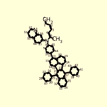 C=C/C=C\C=C(/C)N(c1ccc(-c2ccc3c4c(cccc24)-c2c-3c(-c3ccccc3)c3ccccc3c2-c2ccccc2)cc1)c1ccc2cccnc2c1